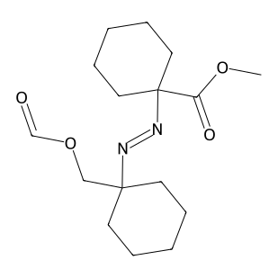 COC(=O)C1(N=NC2(COC=O)CCCCC2)CCCCC1